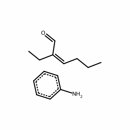 CCCC=C(C=O)CC.Nc1ccccc1